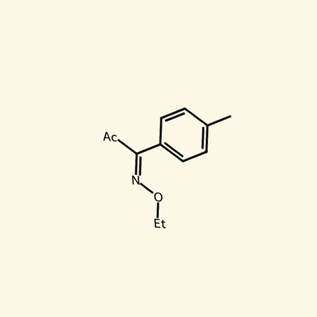 CCO/N=C(/C(C)=O)c1ccc(C)cc1